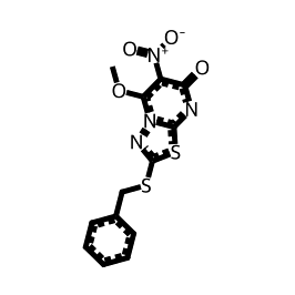 COc1c([N+](=O)[O-])c(=O)nc2sc(SCc3ccccc3)nn12